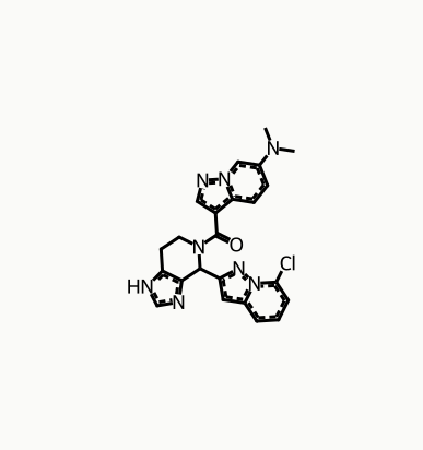 CN(C)c1ccc2c(C(=O)N3CCc4[nH]cnc4C3c3cc4cccc(Cl)n4n3)cnn2c1